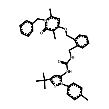 Cc1ccc(-n2nc(C(C)(C)C)cc2NC(=O)NCc2ccccc2COc2cc(C)n(Cc3ccccc3)c(=O)c2C)cc1